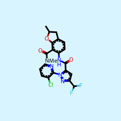 CNC(=O)c1c(NC(=O)c2cc(C(F)F)nn2-c2ncccc2Cl)ccc2c1OC(C)C2